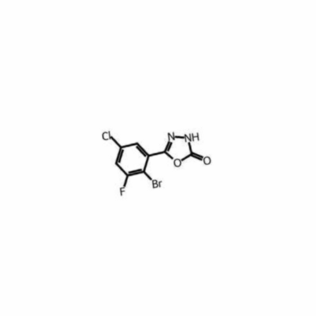 O=c1[nH]nc(-c2cc(Cl)cc(F)c2Br)o1